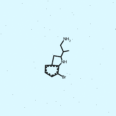 CC(CN)C1Cc2cccc(Br)c2N1